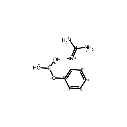 N=C(N)N.OB(O)Oc1ccccc1